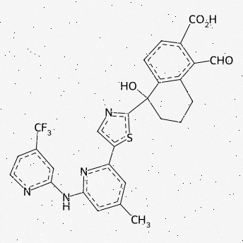 Cc1cc(Nc2cc(C(F)(F)F)ccn2)nc(-c2cnc(C3(O)CCCc4c3ccc(C(=O)O)c4C=O)s2)c1